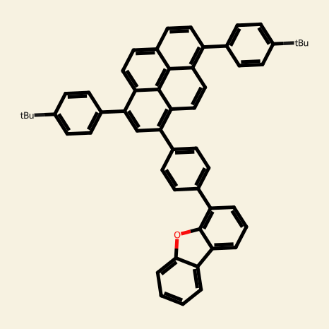 CC(C)(C)c1ccc(-c2ccc3ccc4c(-c5ccc(C(C)(C)C)cc5)cc(-c5ccc(-c6cccc7c6oc6ccccc67)cc5)c5ccc2c3c45)cc1